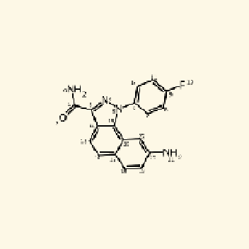 NC(=O)c1nn(-c2ccc(F)cc2)c2c1ccc1ccc(N)cc12